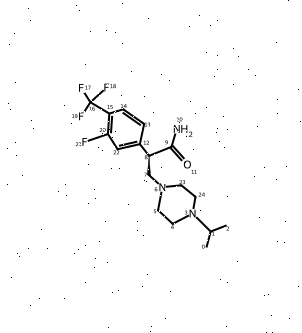 CC(C)N1CCN(C[C@H](C(N)=O)c2ccc(C(F)(F)F)c(F)c2)CC1